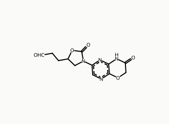 O=CCCC1CN(c2cnc3c(n2)NC(=O)CO3)C(=O)O1